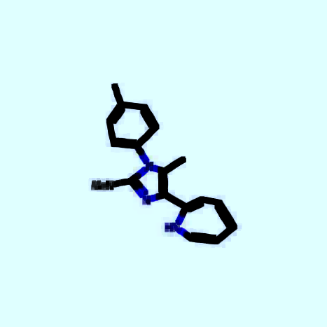 CNc1nc(C2=CC=CC=CN2)c(C)n1-c1ccc(C)cc1